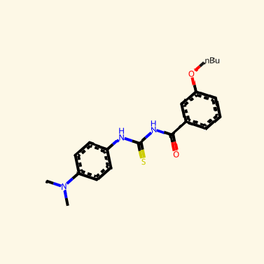 CCCCOc1cccc(C(=O)NC(=S)Nc2ccc(N(C)C)cc2)c1